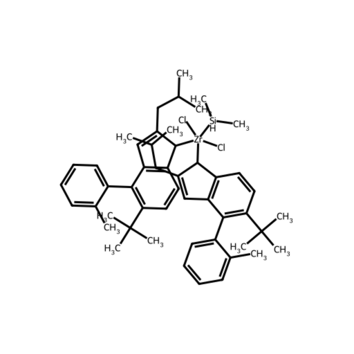 Cc1ccccc1-c1c(C(C)(C)C)ccc2c1C=C(CC(C)C)[CH]2[Zr]([Cl])([Cl])([CH]1C(CC(C)C)=Cc2c1ccc(C(C)(C)C)c2-c1ccccc1C)[SiH](C)C